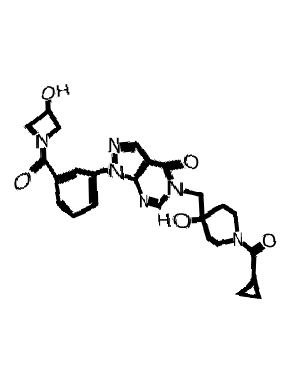 O=C(c1cccc(-n2ncc3c(=O)n(CC4(O)CCN(C(=O)C5CC5)CC4)cnc32)c1)N1CC(O)C1